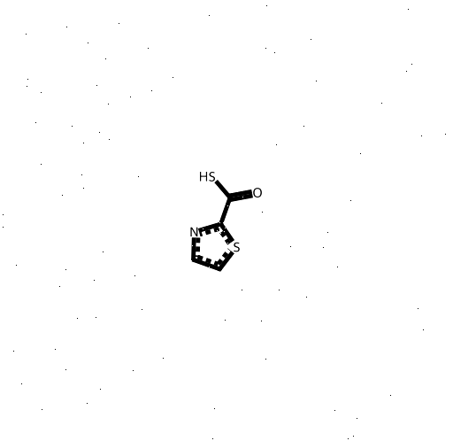 O=C(S)c1nccs1